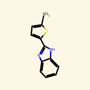 O=[N+]([O-])c1ccc(-c2nc3ccccc3[nH]2)s1